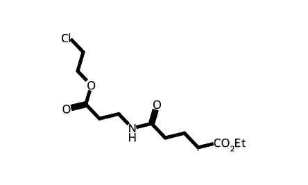 CCOC(=O)[CH]CCC(=O)NCCC(=O)OCCCl